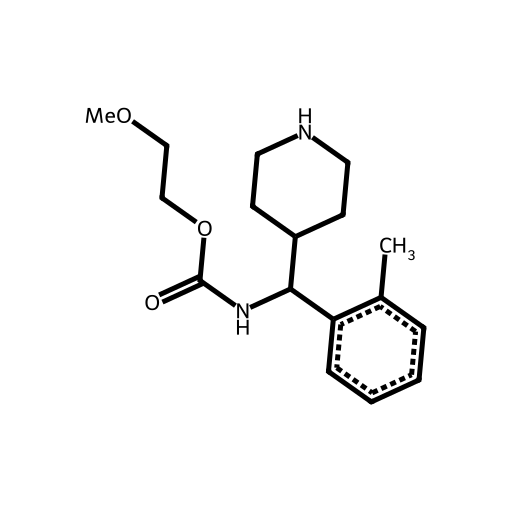 COCCOC(=O)NC(c1ccccc1C)C1CCNCC1